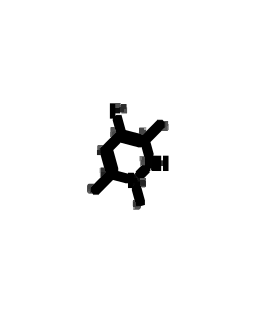 CC1=CC(F)=C(C)NN1C